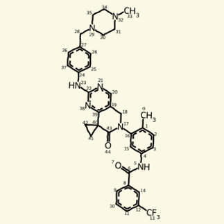 Cc1ccc(NC(=O)c2cccc(C(F)(F)F)c2)cc1N1Cc2cnc(Nc3ccc(CN4CCN(C)CC4)cc3)nc2C2(CC2)C1=O